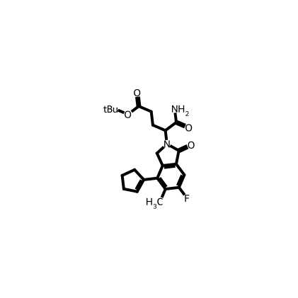 Cc1c(F)cc2c(c1C1=CCCC1)CN(C(CCC(=O)OC(C)(C)C)C(N)=O)C2=O